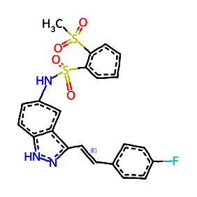 CS(=O)(=O)c1ccccc1S(=O)(=O)Nc1ccc2[nH]nc(/C=C/c3ccc(F)cc3)c2c1